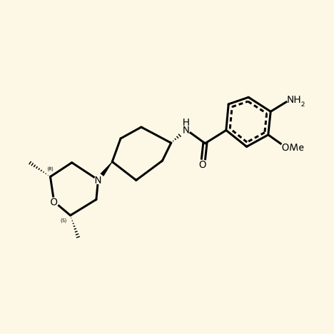 COc1cc(C(=O)N[C@H]2CC[C@H](N3C[C@@H](C)O[C@@H](C)C3)CC2)ccc1N